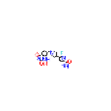 CNC(=O)c1ccc(C2=CCN(Cc3ccc4c(c3)NC(O)N(C)C4=O)CC2)c(F)n1